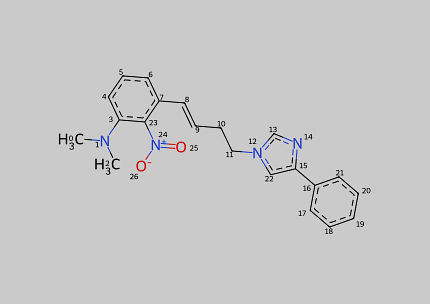 CN(C)c1cccc(C=CCCn2cnc(-c3ccccc3)c2)c1[N+](=O)[O-]